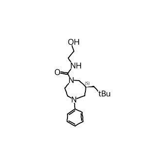 CC(C)(C)C[C@@H]1CN(C(=O)NCCO)CCN(c2ccccc2)C1